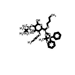 CCCCO[C@@H](CO[Si](c1ccccc1)(c1ccccc1)C(C)(C)C)C1OC(O)C(O[Si](C)(C)C(C)(C)C)C(O)[C@@H]1OB=BP